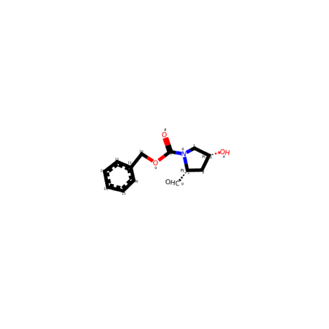 O=C[C@H]1C[C@@H](O)CN1C(=O)OCc1ccccc1